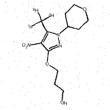 [2H]C([2H])([2H])c1c([N+](=O)[O-])c(OCCCO)nn1C1CCOCC1